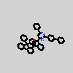 c1ccc(-c2ccc(-c3nc(-c4ccccc4)cc(-c4ccc(-c5cccc6c5C(c5ccccc5)(c5ccccc5)c5ccccc5-6)c5ccccc45)n3)cc2)cc1